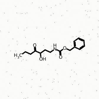 CCCC(=O)C(O)CCNC(=O)OCc1ccccc1